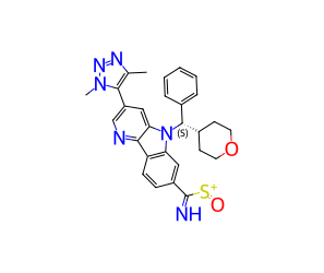 Cc1nnn(C)c1-c1cnc2c3ccc(C(=N)[S+]=O)cc3n([C@H](c3ccccc3)C3CCOCC3)c2c1